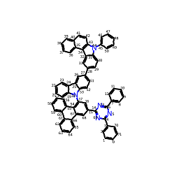 c1ccc(-c2nc(-c3ccccc3)nc(-c3cc(-n4c5ccccc5c5cc(-c6ccc7c(c6)c6c8ccccc8ccc6n7-c6ccccc6)ccc54)c4c5ccccc5c5ccccc5c4c3)n2)cc1